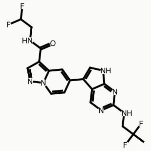 CC(F)(F)CNc1ncc2c(-c3ccn4ncc(C(=O)NCC(F)F)c4c3)c[nH]c2n1